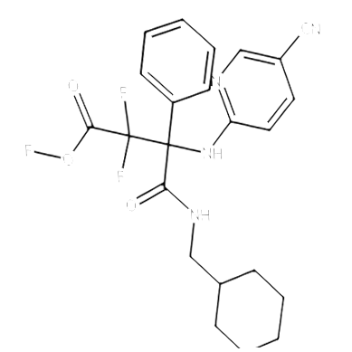 N#Cc1ccc(NC(C(=O)NCC2CCCCC2)(c2ccccc2)C(F)(F)C(=O)OF)nc1